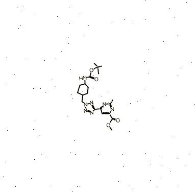 COC(=O)c1cc(-c2nnn(CC3CCC(NC(=O)OC(C)(C)C)CC3)n2)nc(C)n1